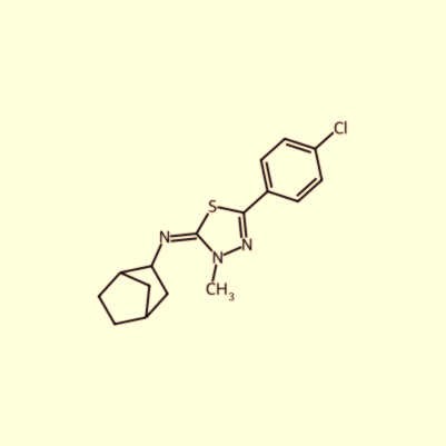 Cn1nc(-c2ccc(Cl)cc2)sc1=NC1CC2CCC1C2